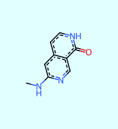 CNc1cc2cc[nH]c(=O)c2cn1